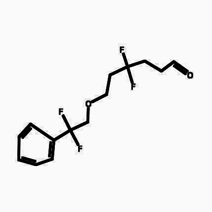 O=CCCC(F)(F)CCOCC(F)(F)c1ccccc1